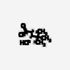 CC(C)(C)CCC(=O)Cl.Cl